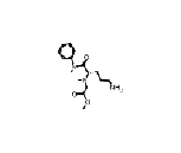 COC(=O)CN[C@@H](CCCN)C(=O)N(C)c1ccccc1